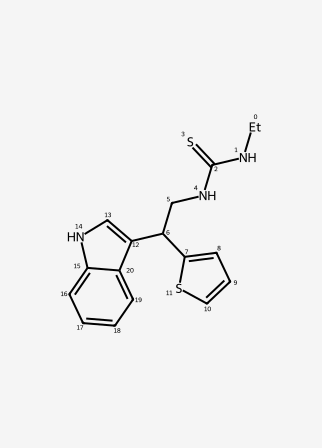 CCNC(=S)NCC(c1cccs1)c1c[nH]c2ccccc12